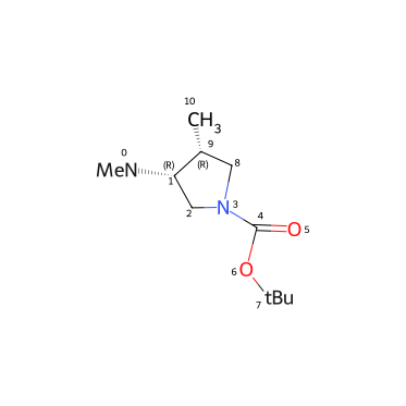 CN[C@H]1CN(C(=O)OC(C)(C)C)C[C@H]1C